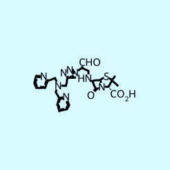 CC1(C)SC2[C@H](NCC(C=O)n3cc(CN(Cc4ccccn4)Cc4ccccn4)nn3)C(=O)N2[C@H]1C(=O)O